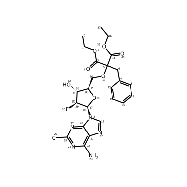 CCOC(=O)C(Cc1ccccc1)(OC[C@H]1O[C@@H](n2cnc3c(N)nc(Cl)nc32)[C@@H](F)[C@@H]1O)C(=O)OCC